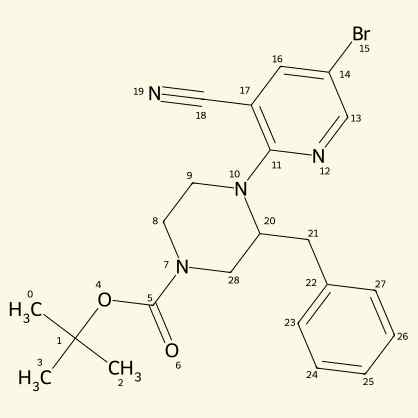 CC(C)(C)OC(=O)N1CCN(c2ncc(Br)cc2C#N)C(Cc2ccccc2)C1